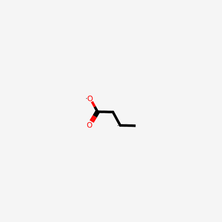 C[CH]CC([O])=O